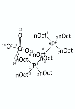 CCCCCCCC[P+](CCCCCCCC)(CCCCCCCC)CCCCCCCC.CCCCCCCC[P+](CCCCCCCC)(CCCCCCCC)CCCCCCCC.[O]=[Cr](=[O])([O-])[O-]